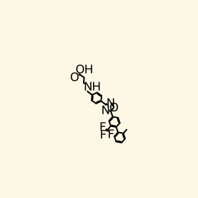 Cc1ccccc1-c1ccc(-c2nc(-c3ccc(CNCCC(=O)O)cc3)no2)cc1C(F)(F)F